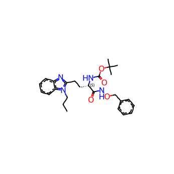 CCCn1c(CC[C@H](NC(=O)OC(C)(C)C)C(=O)NOCc2ccccc2)nc2ccccc21